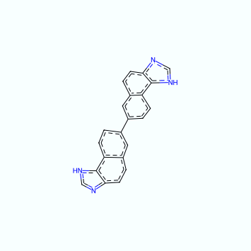 c1nc2ccc3cc(-c4ccc5c(ccc6nc[nH]c65)c4)ccc3c2[nH]1